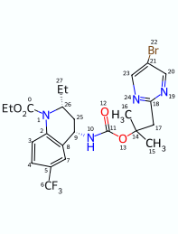 CCOC(=O)N1c2ccc(C(F)(F)F)cc2[C@@H](NC(=O)OC(C)(C)Cc2ncc(Br)cn2)C[C@H]1CC